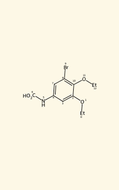 CCOc1cc(NC(=O)O)cc(Br)c1OCC